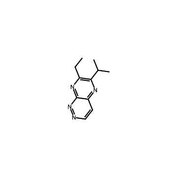 CCc1nc2nnccc2nc1C(C)C